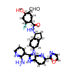 Nc1ncccc1-c1nc2ccc(-c3ncco3)nc2n1-c1ccc2c(c1)CC[C@@H]2NC(=O)c1cc(C=O)c(O)cc1F